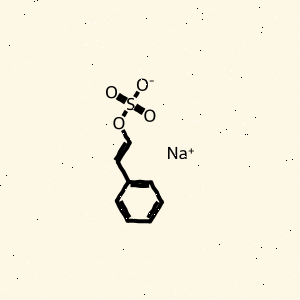 O=S(=O)([O-])OC=Cc1ccccc1.[Na+]